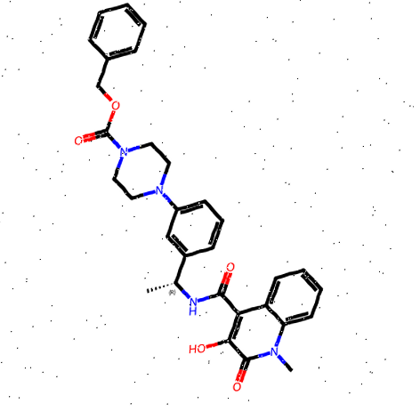 C[C@@H](NC(=O)c1c(O)c(=O)n(C)c2ccccc12)c1cccc(N2CCN(C(=O)OCc3ccccc3)CC2)c1